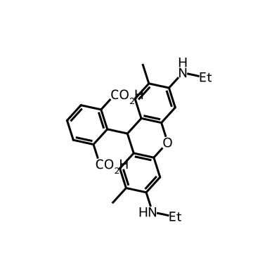 CCNc1cc2c(cc1C)C(c1c(C(=O)O)cccc1C(=O)O)c1cc(C)c(NCC)cc1O2